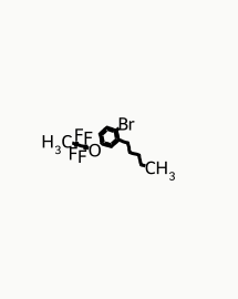 CCCCCc1cc(OC(F)(F)C(C)(F)F)ccc1Br